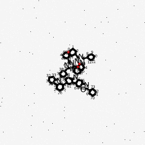 c1ccc(-c2nc(-c3ccccc3)nc(-c3ccc(-n4c5ccc(-c6cccc7c8ccccc8n(-c8ccc(-c9nc(-c%10ccccc%10)nc(-c%10ccccc%10)n9)cc8)c67)cc5c5cc6oc(-c7ccccc7)nc6cc54)cc3)n2)cc1